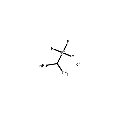 CCCCC([B-](F)(F)F)C(F)(F)F.[K+]